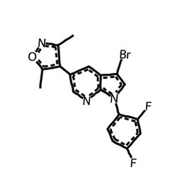 Cc1noc(C)c1-c1cnc2c(c1)c(Br)cn2-c1ccc(F)cc1F